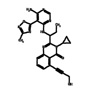 CCC(Nc1ncnc(N)c1-c1nc(C)no1)c1nc2cccc(C#CCO)c2c(=O)n1C1CC1